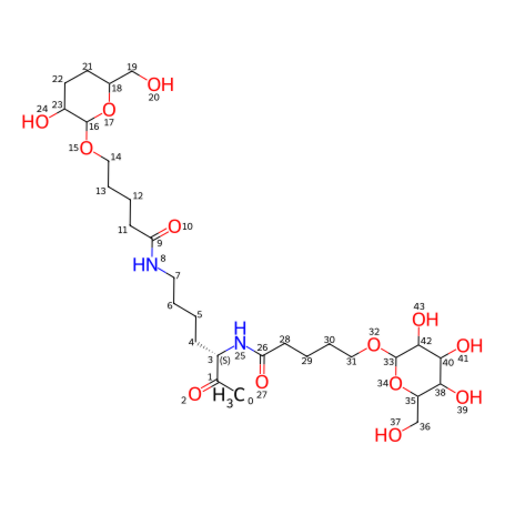 CC(=O)[C@H](CCCCNC(=O)CCCCOC1OC(CO)CCC1O)NC(=O)CCCCOC1OC(CO)C(O)C(O)C1O